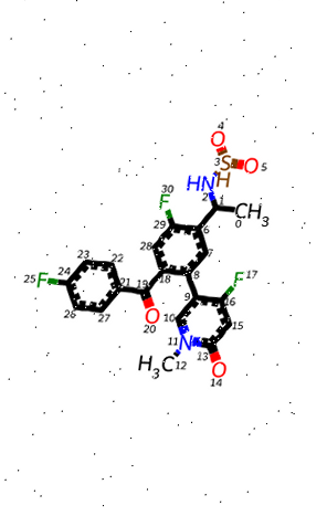 CC(N[SH](=O)=O)c1cc(-c2cn(C)c(=O)cc2F)c(C(=O)c2ccc(F)cc2)cc1F